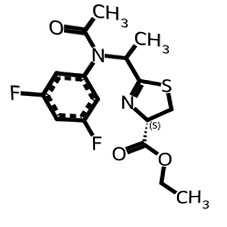 CCOC(=O)[C@H]1CSC(C(C)N(C(C)=O)c2cc(F)cc(F)c2)=N1